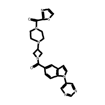 O=C(c1ccc2c(ccn2-c2cncnc2)c1)N1CC(N2CCN(C(=O)c3nccs3)CC2)C1